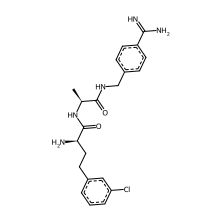 C[C@H](NC(=O)[C@H](N)CCc1cccc(Cl)c1)C(=O)NCc1ccc(C(=N)N)cc1